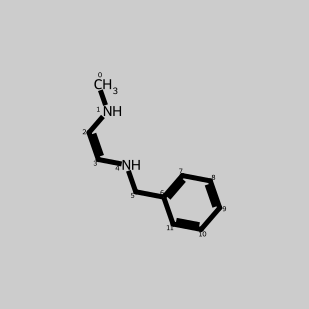 CN/C=C\NCc1ccccc1